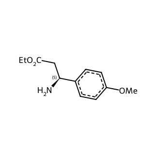 CCOC(=O)C[C@H](N)c1ccc(OC)cc1